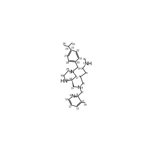 CNCCCCN(Cc1ncccc1C)C[C@@H]1CN(Cc2ccc(C(C)C)cc2)CCN1